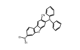 CCN(CC)c1ccc2c(c1)oc1cc(N(c3ccccc3)c3ccccc3)c(C#N)cc12